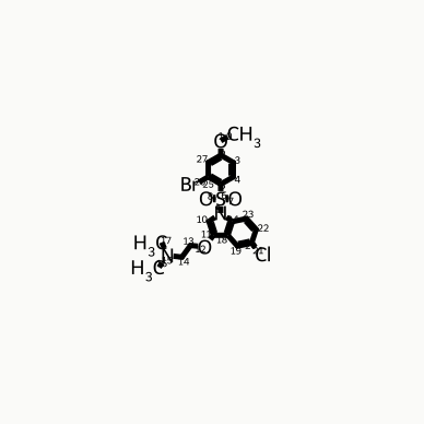 COc1ccc(S(=O)(=O)n2cc(OCCN(C)C)c3cc(Cl)ccc32)c(Br)c1